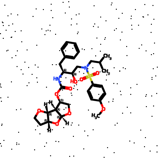 COc1ccc(S(=O)(=O)N(CC(C)C)C[C@@H](O)[C@H](Cc2ccccc2)NC(=O)O[C@H]2CO[C@H]3O[C@@H]4CCO[C@@H]4[C@H]32)cc1